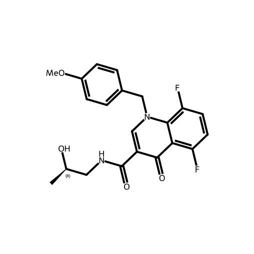 COc1ccc(Cn2cc(C(=O)NC[C@@H](C)O)c(=O)c3c(F)ccc(F)c32)cc1